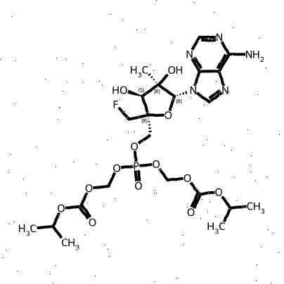 CC(C)OC(=O)OCOP(=O)(OCOC(=O)OC(C)C)OC[C@@]1(CF)O[C@@H](n2cnc3c(N)ncnc32)[C@](C)(O)[C@@H]1O